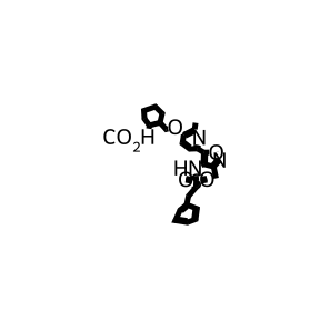 Cc1nc(-c2onc(C)c2NS(=O)(=O)CCc2ccccc2)ccc1OCC1CCCCC1C(=O)O